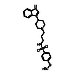 CCCCOc1ccc(S(=O)(=O)NCCCN2CCC(c3c[nH]c4ccccc34)CC2)cc1